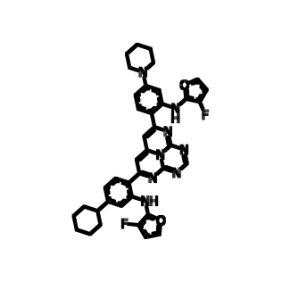 Fc1ccoc1Nc1cc(N2CCCCC2)ccc1C1=CC2=CC(c3ccc(C4CCCCC4)cc3Nc3occc3F)=NC3=NC=NC(=N1)N23